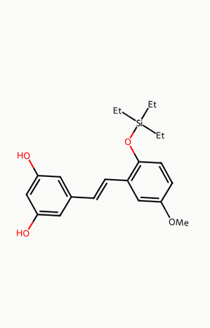 CC[Si](CC)(CC)Oc1ccc(OC)cc1C=Cc1cc(O)cc(O)c1